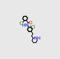 Cl.O=C(Nc1ccc(CCC2CCCCN2)cc1)c1ccccc1Cl